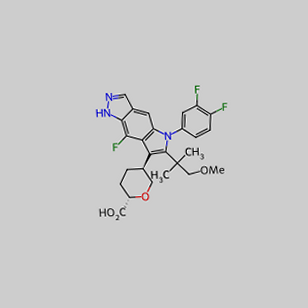 COCC(C)(C)c1c([C@@H]2CC[C@@H](C(=O)O)OC2)c2c(F)c3[nH]ncc3cc2n1-c1ccc(F)c(F)c1